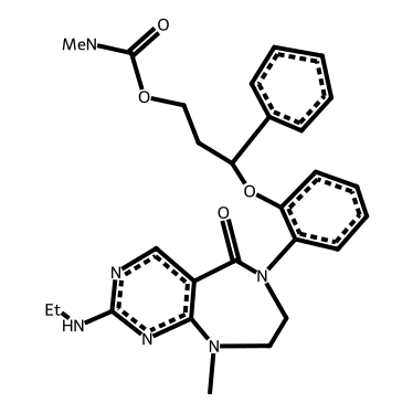 CCNc1ncc2c(n1)N(C)CCN(c1ccccc1OC(CCOC(=O)NC)c1ccccc1)C2=O